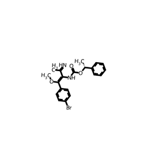 CO/C(=C(/NC(=O)O[C@H](C)c1ccccc1)C(C)=N)c1ccc(Br)cc1